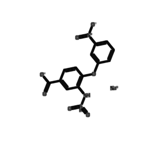 O=C([O-])c1ccc(Oc2cccc([N+](=O)[O-])c2)c(N[SH](=O)=O)c1.[Na+]